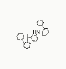 CC1(c2cccc(Nc3ccccc3-c3ccccc3)c2)c2ccccc2-c2ccccc21